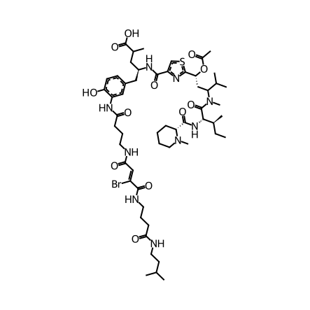 CC[C@H](C)[C@H](NC(=O)[C@H]1CCCCN1C)C(=O)N(C)C(C[C@@H](OC(C)=O)c1nc(C(=O)N[C@@H](Cc2ccc(O)c(NC(=O)CCCNC(=O)/C=C(\Br)C(=O)NCCCC(=O)NCCC(C)C)c2)CC(C)C(=O)O)cs1)C(C)C